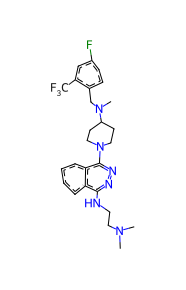 CN(C)CCNc1nnc(N2CCC(N(C)Cc3ccc(F)cc3C(F)(F)F)CC2)c2ccccc12